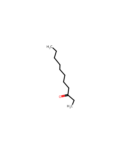 CCCCCCCCC(=O)CC